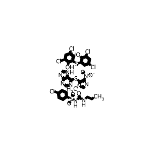 CCCNC(=O)NS(=O)(=O)c1ccc(Cl)cc1.Cn1cnc([N+](=O)[O-])c1Sc1ncnc2nc[nH]c12.Oc1c(Cl)cc(Cl)cc1Sc1cc(Cl)cc(Cl)c1O